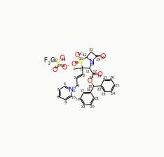 CC1(/C=C/C[n+]2ccccc2)C(C(=O)OC(c2ccccc2)c2ccccc2)N2C(=O)CC2S1(=O)=O.O=S(=O)([O-])C(F)(F)F